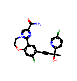 CC(O)(C#Cc1cc2c(cc1F)OCCn1cc(C(N)=O)nc1-2)c1ccc(Cl)cn1